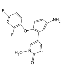 Cn1cc(-c2cc(N)ccc2Oc2ccc(F)cc2F)c[c]c1=O